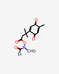 CCC(=O)N(C=O)OC(=O)CC(C)(C)C1=CC(=O)C(C)=CC1=O